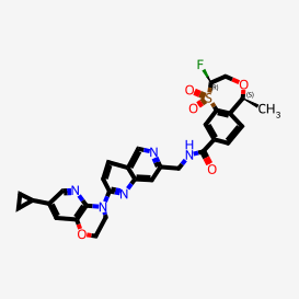 C[C@@H]1OC[C@H](F)S(=O)(=O)c2cc(C(=O)NCc3cc4nc(N5CCOc6cc(C7CC7)cnc65)ccc4cn3)ccc21